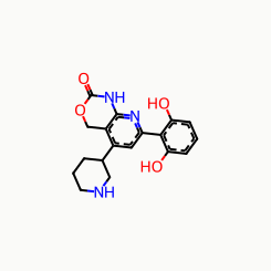 O=C1Nc2nc(-c3c(O)cccc3O)cc(C3CCCNC3)c2CO1